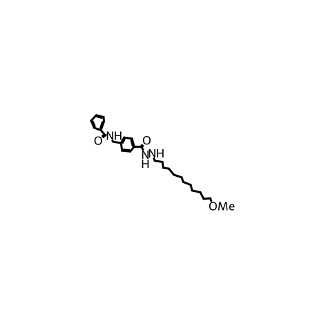 COCCCCCCCCCCCCNNC(=O)c1ccc(CNC(=O)c2ccccc2)cc1